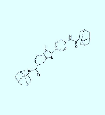 O=C(NC12CC3CC(CC(C3)C1)C2)c1ccc2[nH]c(-c3ccc(NC(=O)C45CC6CC(CC(C6)C4)C5)cc3)nc2c1